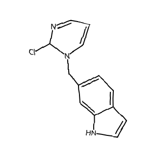 ClC1N=CC=CN1Cc1ccc2cc[nH]c2c1